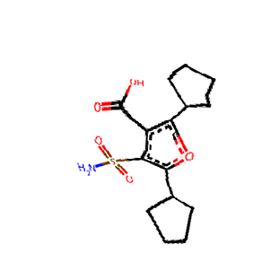 NS(=O)(=O)c1c(C2CCCC2)oc(C2CCCC2)c1C(=O)O